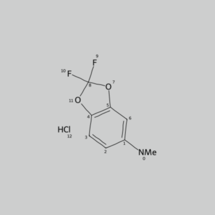 CNc1ccc2c(c1)OC(F)(F)O2.Cl